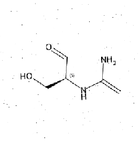 C=C(N)N[C@H](C=O)CO